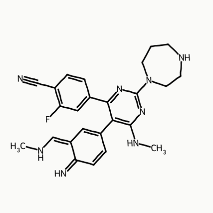 CN/C=C1/C=C(c2c(NC)nc(N3CCCNCC3)nc2-c2ccc(C#N)c(F)c2)C=CC1=N